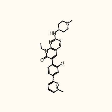 CCn1c(=O)c(-c2ccc(-c3cccc(C)n3)cc2Cl)cc2cnc(NC3CCN(C)CC3)nc21